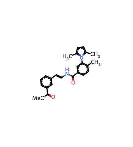 COC(=O)c1cccc(/C=C/NC(=O)c2ccc(C)c(-n3c(C)ccc3C)c2)c1